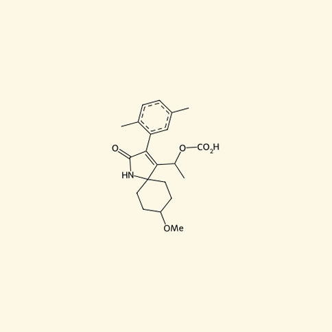 COC1CCC2(CC1)NC(=O)C(c1cc(C)ccc1C)=C2C(C)OC(=O)O